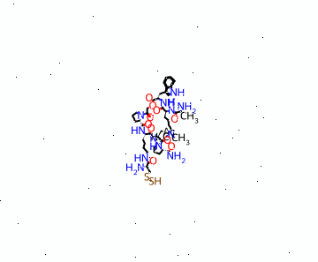 CC(=O)C[C@H](NC(=O)[C@H](CCCCNC(=O)[C@@H](N)CSS)NC(=O)[C@@H]1CCCN1C(=O)COC(=O)[C@H](Cc1c[nH]c2ccccc12)NC(=O)[C@H](CCCCN(C)C)NC(=O)[C@H](C)N)C(=O)N1CCC[C@H]1C(N)=O